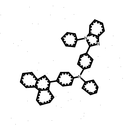 c1ccc(N(c2ccc(-c3cc4ccccc4c4ccccc34)cc2)c2ccc(-c3nc4ccccc4n3-c3ccccc3)cc2)cc1